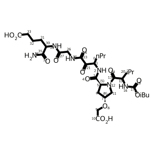 CCCC(NC(=O)[C@@H]1C[C@@H](OCC(=O)O)CN1C(=O)C(NC(=O)OCC(C)C)C(C)C)C(=O)C(=O)NCC(=O)NC(CCCC(=O)O)C(N)=O